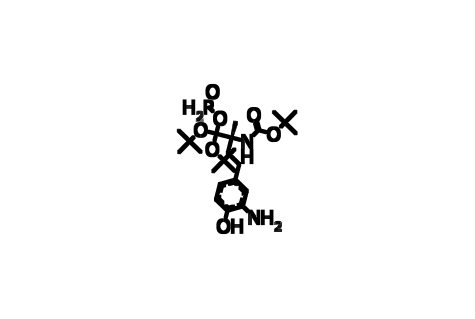 CC(C)(C)OC(=O)N[C@](C)(CCc1ccc(O)c(N)c1)C(O[PH2]=O)(OC(C)(C)C)OC(C)(C)C